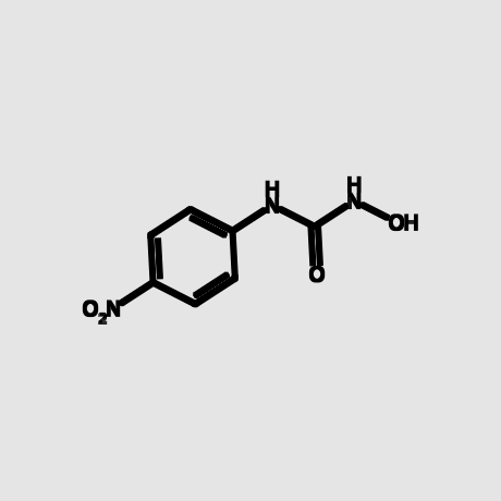 O=C(NO)Nc1ccc([N+](=O)[O-])cc1